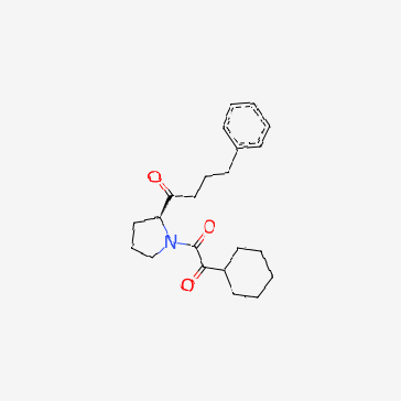 O=C(C(=O)N1CCC[C@H]1C(=O)CCCc1ccccc1)C1CCCCC1